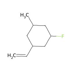 C=CC1CC(C)CC(F)C1